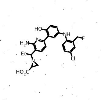 CCC(c1ccc(-c2cc(Nc3ccc(Cl)cc3CF)ccc2O)nc1N)N1CC1C(=O)O